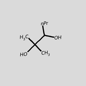 CCC[C](O)C(C)(C)O